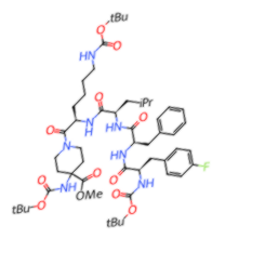 COC(=O)C1(NC(=O)OC(C)(C)C)CCN(C(=O)[C@@H](CCCCNC(=O)OC(C)(C)C)NC(=O)[C@@H](CC(C)C)NC(=O)[C@@H](Cc2ccccc2)NC(=O)[C@@H](Cc2ccc(F)cc2)NC(=O)OC(C)(C)C)CC1